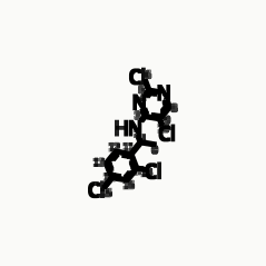 CC(Nc1nc(Cl)ncc1Cl)c1ccc(Cl)cc1Cl